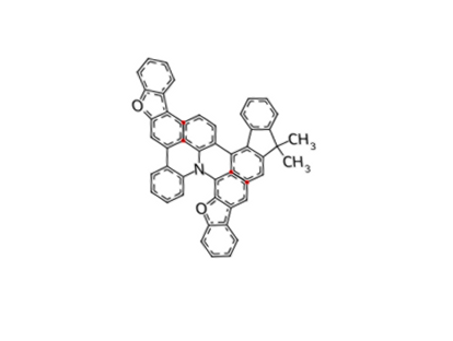 CC1(C)c2ccccc2-c2c(-c3ccccc3N(c3ccccc3-c3ccc4c(c3)oc3ccccc34)c3cccc4c3oc3ccccc34)cccc21